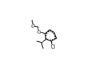 COCOc1cccc(Cl)c1C(C)C